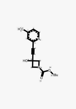 Cc1ccnc(C#CC2(O)CN(C(=O)OC(C)(C)C)C2)c1